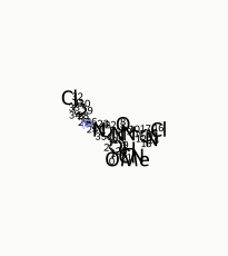 COc1cc2c3c(n(C(=O)NCc4ccnc(Cl)c4)c2cc1C#N)CCN(C/C=C/c1ccc(Cl)cc1)C3